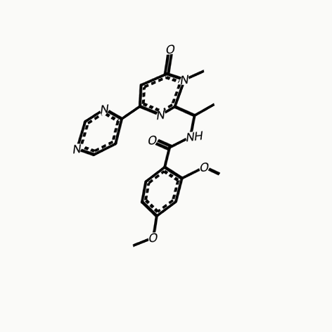 COc1ccc(C(=O)NC(C)c2nc(-c3ccncn3)cc(=O)n2C)c(OC)c1